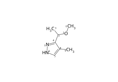 COC(C)c1n[nH]cc1C